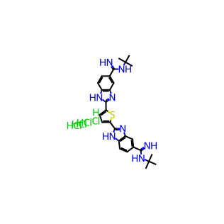 CC(C)(C)NC(=N)c1ccc2[nH]c(-c3ccc(-c4nc5cc(C(=N)NC(C)(C)C)ccc5[nH]4)s3)nc2c1.Cl.Cl.Cl.Cl